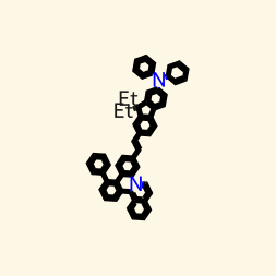 CCC1(CC)c2cc(/C=C/c3ccc(-c4c(-c5ccccc5)cccc4-c4nccc5ccccc45)cc3)ccc2-c2ccc(N(c3ccccc3)C3C=CC=CC3)cc21